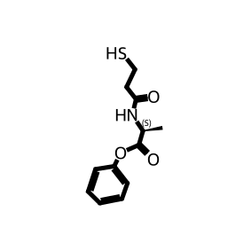 C[C@H](NC(=O)CCS)C(=O)Oc1ccccc1